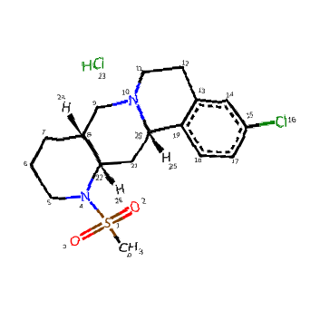 CS(=O)(=O)N1CCC[C@@H]2CN3CCc4cc(Cl)ccc4[C@@H]3C[C@@H]21.Cl